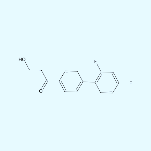 O=C(CCO)c1ccc(-c2ccc(F)cc2F)cc1